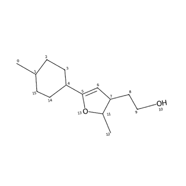 CC1CCC(C2=CC(CCO)C(C)O2)CC1